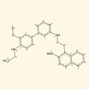 CCOc1cc(-c2cc(NCCc3c(OC)ccc4ncccc34)ncn2)ccc1NCC(=O)O